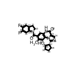 Cc1cc2c(cc1C(=O)N1CCc3cc(F)c(F)cc31)[nH]c(=O)c1cnc([C@@H]3CCC[C@H]3O)n12